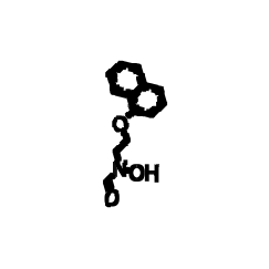 O=CN(O)CCOc1cccc2ccccc12